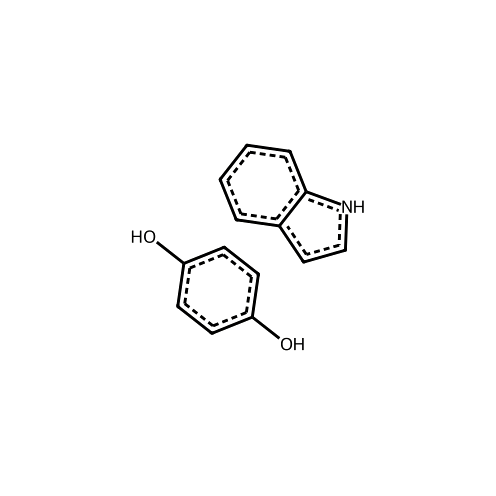 Oc1ccc(O)cc1.c1ccc2[nH]ccc2c1